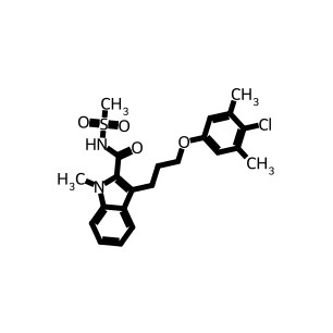 Cc1cc(OCCCc2c(C(=O)NS(C)(=O)=O)n(C)c3ccccc23)cc(C)c1Cl